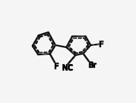 N#Cc1c(-c2ccccc2F)ccc(F)c1Br